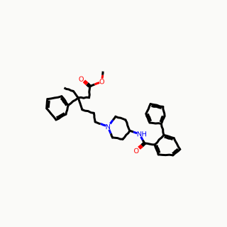 CCC(CCCN1CCC(NC(=O)c2ccccc2-c2ccccc2)CC1)(CC(=O)OC)c1ccccc1